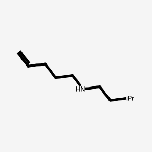 C=CCCCNCCC(C)C